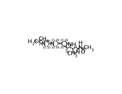 CCc1c(-c2ccnc(NC(C)=O)c2)[nH]c2ccc(C3CCN(C4CCN(CC(C)C)CC4)CC3)cc12